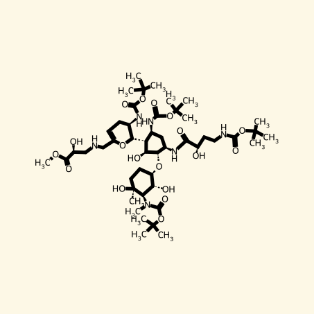 COC(=O)[C@@H](O)CNCC1=CC[C@@H](NC(=O)OC(C)(C)C)C([C@H]2[C@H](O)[C@@H](O[C@H]3CC[C@](C)(O)[C@H](N(C)C(=O)OC(C)(C)C)[C@H]3O)[C@H](NC(=O)[C@@H](O)CCNC(=O)OC(C)(C)C)C[C@@H]2NC(=O)OC(C)(C)C)O1